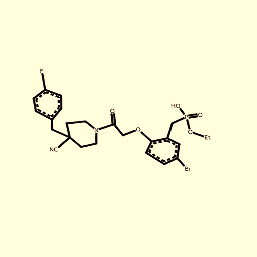 CCOP(=O)(O)Cc1cc(Br)ccc1OCC(=O)N1CCC(C#N)(Cc2ccc(F)cc2)CC1